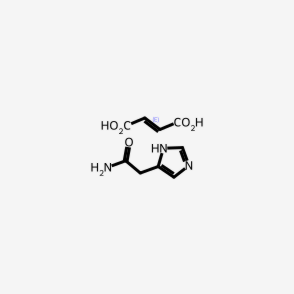 NC(=O)Cc1cnc[nH]1.O=C(O)/C=C/C(=O)O